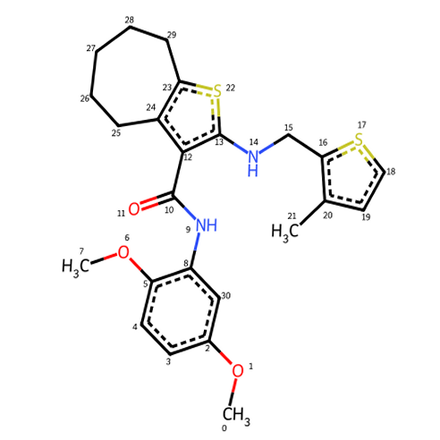 COc1ccc(OC)c(NC(=O)c2c(NCc3sccc3C)sc3c2CCCCC3)c1